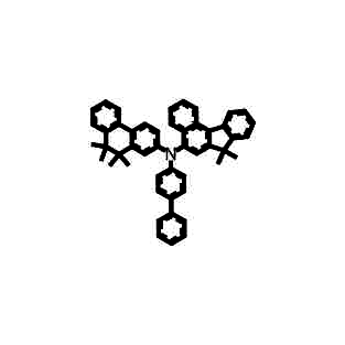 CC1(C)c2ccccc2-c2c1cc(N(c1ccc(-c3ccccc3)cc1)c1ccc3c(c1)C(C)(C)C(C)(C)c1ccccc1-3)c1ccccc21